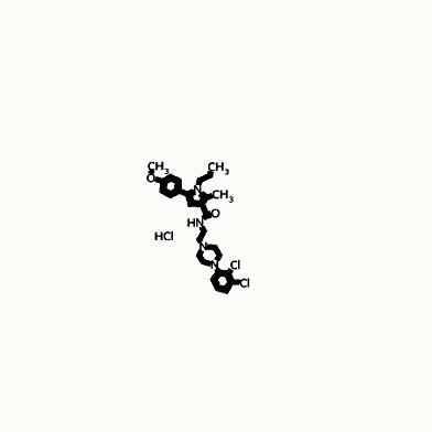 CCCn1c(-c2ccc(OC)cc2)cc(C(=O)NCCN2CCN(c3cccc(Cl)c3Cl)CC2)c1C.Cl